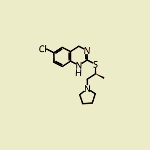 C[C@@H](CN1CCCC1)SC1=NCc2cc(Cl)ccc2N1